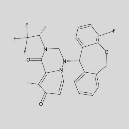 Cc1c2n(ccc1=O)N([C@H]1c3ccccc3COc3c(F)cccc31)CN([C@@H](C)C(F)(F)F)C2=O